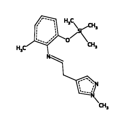 Cc1cccc(O[Si](C)(C)C)c1N=CCc1cnn(C)c1